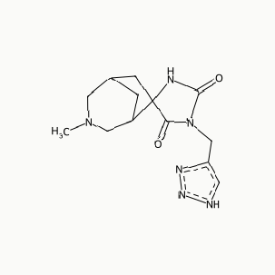 CN1CC2CC(C1)C1(C2)NC(=O)N(Cc2c[nH]nn2)C1=O